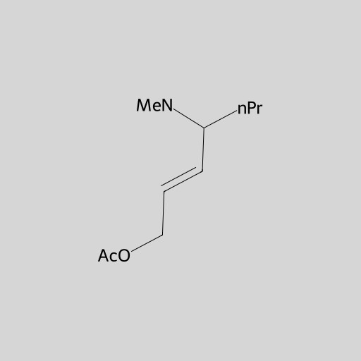 CCCC(/C=C/COC(C)=O)NC